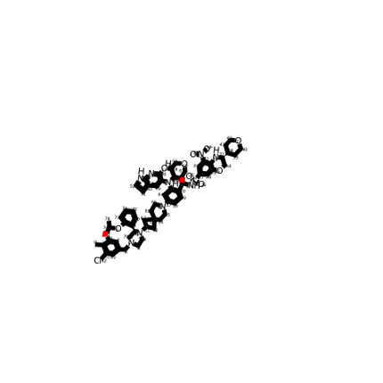 Cc1c(F)cc(CN2CCN(C3CC4(CCN(c5ccc(C(=O)NS(=O)(=O)c6cc7c(c([N+](=O)[O-])c6)N[C@H](C6CCOCC6)CO7)c(N6c7cc8cc[nH]c8nc7O[C@H]7COCC[C@@H]76)c5)CC4)C3)[C@H](c3ccccc3OC(C)C)C2)cc1Cl